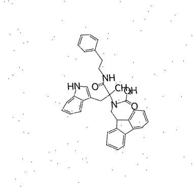 CC(Cc1c[nH]c2ccccc12)(C(=O)NCCc1ccccc1)N(CC1c2ccccc2-c2ccccc21)C(=O)O